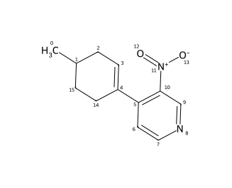 CC1CC=C(c2ccncc2[N+](=O)[O-])CC1